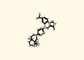 Cc1nnn(-c2ccc(C(F)F)cc2)c1COc1ccc(N2CC[C@H]3CCNC(=O)[C@@H]3C2)nn1